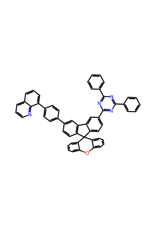 c1ccc(-c2nc(-c3ccccc3)nc(-c3ccc4c(c3)-c3cc(-c5ccc(-c6cccc7cccnc67)cc5)ccc3C43c4ccccc4Oc4ccccc43)n2)cc1